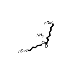 CCCCCCCCCCCCCCCCCC(=O)OCCCCCCCCCCCCCCC.N